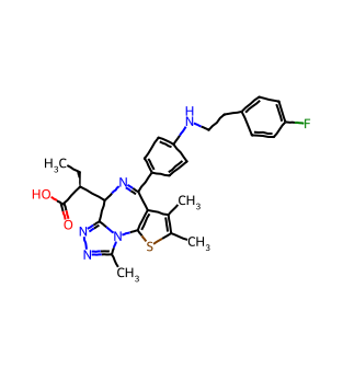 CC[C@H](C(=O)O)C1N=C(c2ccc(NCCc3ccc(F)cc3)cc2)c2c(sc(C)c2C)-n2c(C)nnc21